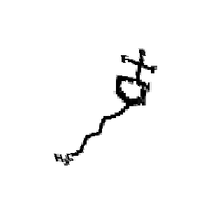 CCCCCCc1ccc(C(F)(F)F)nn1